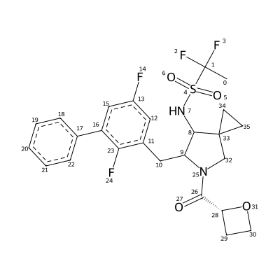 CC(F)(F)S(=O)(=O)NC1C(Cc2cc(F)cc(-c3ccccc3)c2F)N(C(=O)[C@H]2CCO2)CC12CC2